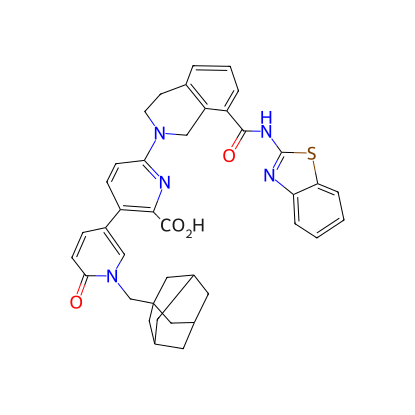 O=C(Nc1nc2ccccc2s1)c1cccc2c1CN(c1ccc(-c3ccc(=O)n(CC45CC6CC(CC(C6)C4)C5)c3)c(C(=O)O)n1)CC2